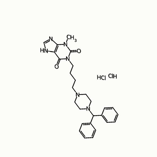 Cl.Cl.Cn1c(=O)n(CCCCN2CCN(C(c3ccccc3)c3ccccc3)CC2)c(=O)c2[nH]cnc21